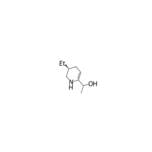 CC[C@H]1CC=C(C(C)O)NC1